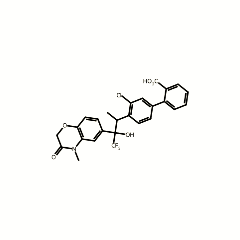 CC(c1ccc(-c2ccccc2C(=O)O)cc1Cl)C(O)(c1ccc2c(c1)N(C)C(=O)CO2)C(F)(F)F